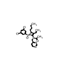 C=CC1=C(N(Cc2ccncn2)C(C)=O)N([S+]([O-])c2cc(Cl)cc(Cl)c2)C1CCCC